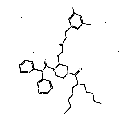 CCCCCN(CCCCC)C(=O)N1CCN(C(=O)N(c2ccccc2)c2ccccc2)C(CCNCCc2cc(C)cc(C)c2)C1